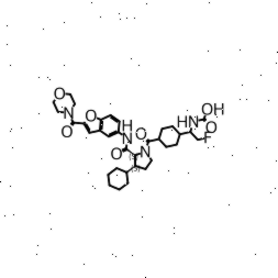 O=C(O)NC(CF)C1CCC(C(=O)N2CC[C@@H](C3CCCCC3)[C@H]2C(=O)Nc2ccc3oc(C(=O)N4CCOCC4)cc3c2)CC1